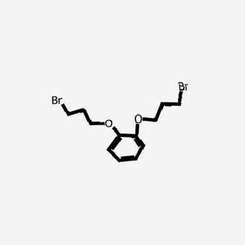 BrCCCOc1ccccc1OCCCBr